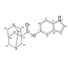 O=C(Oc1ccc2[nH]ccc2c1)C12CC3CC(CC(C3)C1)C2